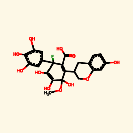 COC1(O)C(O)=C(O)C(F)(c2cc(O)c(O)c(O)c2)C(C(=O)O)=C1C1COc2cc(O)ccc2C1